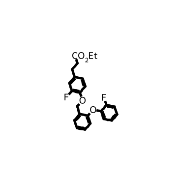 CCOC(=O)CCc1ccc(OCc2ccccc2Oc2ccccc2F)c(F)c1